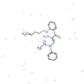 C=CCCCOc1ccccc1C(=O)/C(N)=C/N(NC)c1ccccc1